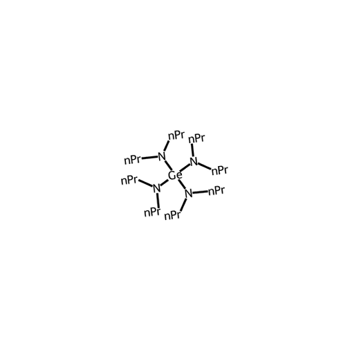 CCC[N](CCC)[Ge]([N](CCC)CCC)([N](CCC)CCC)[N](CCC)CCC